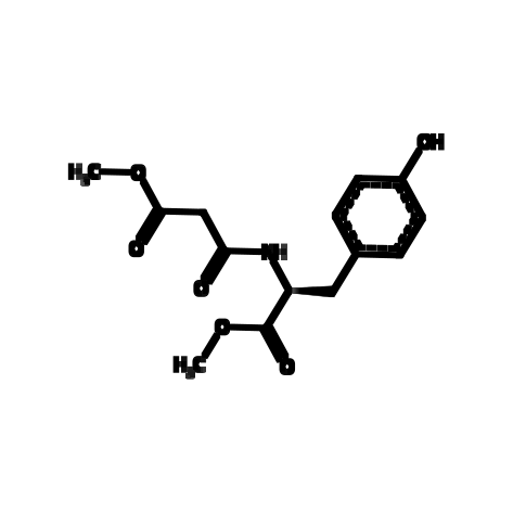 COC(=O)CC(=O)N[C@@H](Cc1ccc(O)cc1)C(=O)OC